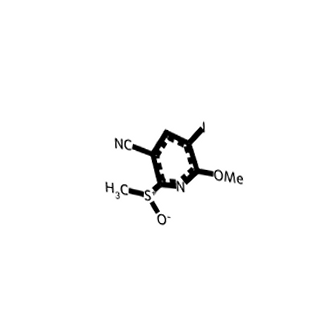 COc1nc([S+](C)[O-])c(C#N)cc1I